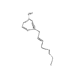 CCCCCC=CCc1[c]ccc(O)c1